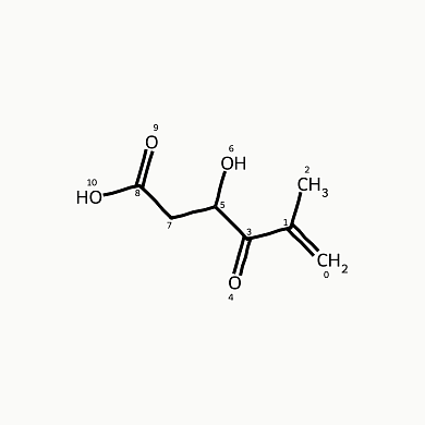 C=C(C)C(=O)C(O)CC(=O)O